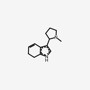 CN1CCCC1c1c[nH]c2c1C=CCC2